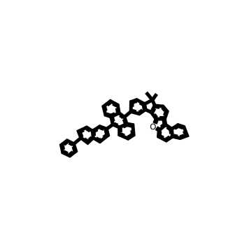 CC1(C)c2ccc(-c3c4ccccc4c(-c4ccc5cc(-c6ccccc6)ccc5c4)c4ccccc34)cc2-c2c1ccc1c2oc2ccc3ccccc3c21